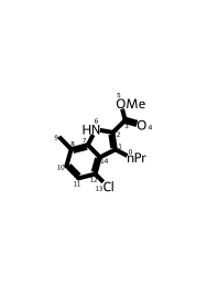 CCCc1c(C(=O)OC)[nH]c2c(C)ccc(Cl)c12